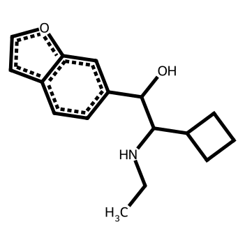 CCNC(C1CCC1)C(O)c1ccc2ccoc2c1